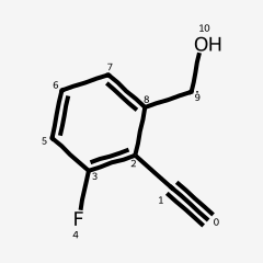 C#Cc1c(F)cccc1[CH]O